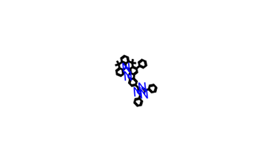 CC1(C)c2cccc3c2N2c4c1cccc4C(C)(C)c1c(-c4ccccc4)cc4c5cc(-c6nc(-c7ccccc7)nc(-c7ccccc7)n6)ccc5n-3c4c12